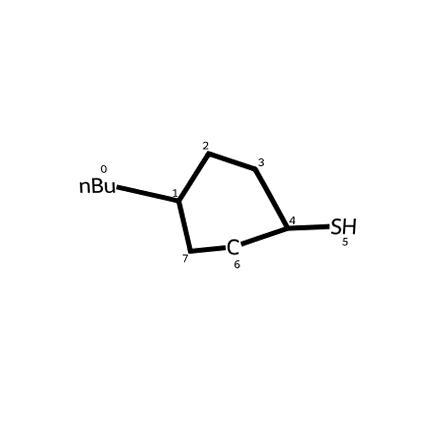 CCCCC1CCC(S)CC1